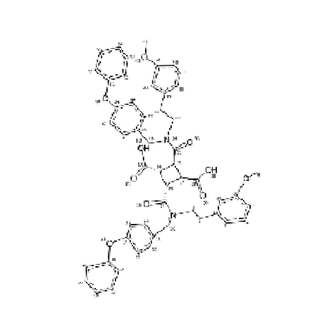 COc1cccc(CCN(Cc2ccc(Oc3ccccc3)cc2)C(=O)[C@H]2[C@H](C(=O)O)[C@H](C(=O)N(CCc3cccc(OC)c3)Cc3ccc(Oc4ccccc4)cc3)[C@H]2C(=O)O)c1